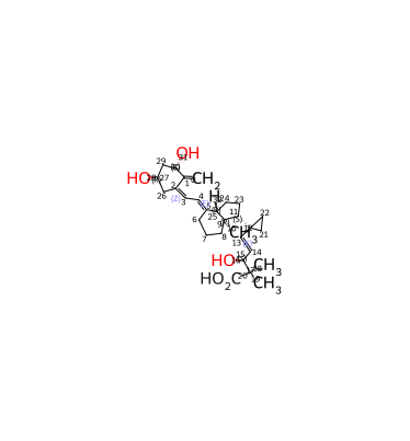 C=C1/C(=C\C=C2/CCC[C@]3(C)[C@@H](C4(/C=C/[C@H](O)C(C)(C)C(=O)O)CC4)CC[C@@H]23)C[C@@H](O)C[C@@H]1O